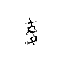 CC1(N)CCN(c2ncc(C(F)(F)F)cc2Cl)C1